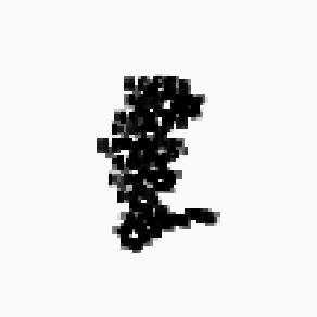 CC[C@H](C)[C@@H]([C@@H](CC(=O)N1CCC[C@H]1[C@H](OC)[C@@H](C)C(=O)N[C@@H](Cc1ccccc1)C(=O)NS(=O)(=O)CCCN=[N+]=[N-])OC)N(C)C(=O)[C@@H](NC(=O)[C@@H]1[C@H]2CC[C@H](C2)N1C(=O)OC(C)(C)C)C(C)C